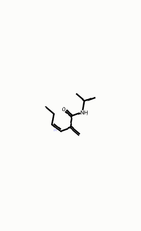 C=C(/C=C\CC)C(=O)NC(C)C